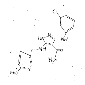 NC(=O)c1c(Nc2cccc(Cl)c2)n[nH]c1NCc1ccc(O)nc1